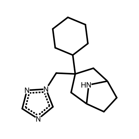 c1ncn(CC2(C3CCCCC3)CC3CCC(C2)N3)n1